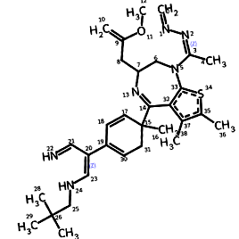 C=N/N=C(/C)N1CC(CC(=C)OC)N=C(C2(C)C=CC(/C(C=N)=C/NCC(C)(C)C)=CC2)c2c1sc(C)c2C